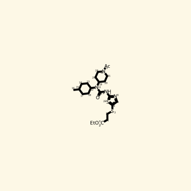 CCOC(=O)CCSc1cnc(NC(=O)N(C2CCC(C)CC2)C2CCN(C(C)=O)CC2)s1